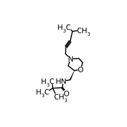 CC(C)C#CCN1CCO[C@@H](CNC(=O)C(C)(C)C)C1